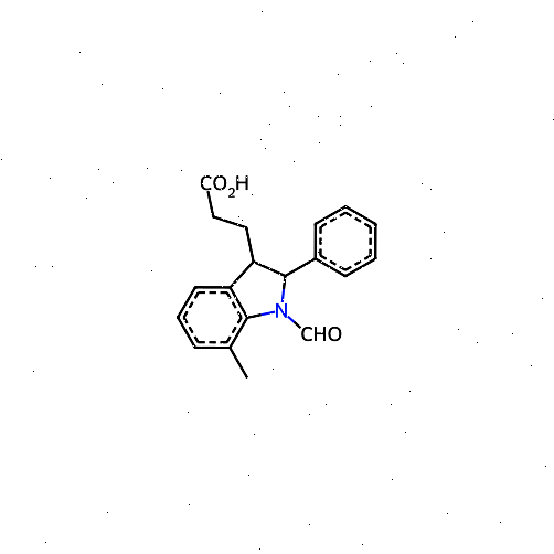 Cc1cccc2c1N(C=O)C(c1ccccc1)C2CCC(=O)O